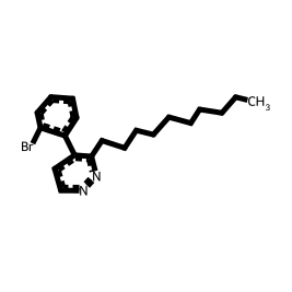 CCCCCCCCCCc1nnccc1-c1ccccc1Br